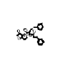 O=C(CCc1ccccc1)NC(CSCc1ccccc1)C(=O)N1CCC2OCC(=O)C21